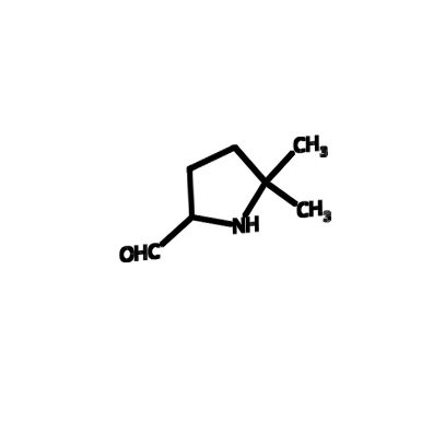 CC1(C)CCC(C=O)N1